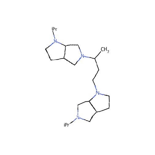 CC(C)N1CC2CCN(CCC(C)N3CC4CCN(C(C)C)C4C3)C2C1